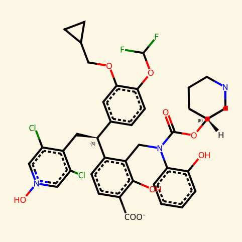 O=C([O-])c1ccc([C@@H](Cc2c(Cl)c[n+](O)cc2Cl)c2ccc(OC(F)F)c(OCC3CC3)c2)c(CN(C(=O)O[C@H]2CN3CCC2CC3)c2ccccc2O)c1O